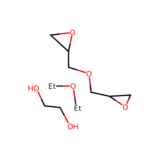 C(OCC1CO1)C1CO1.CCOCC.OCCO